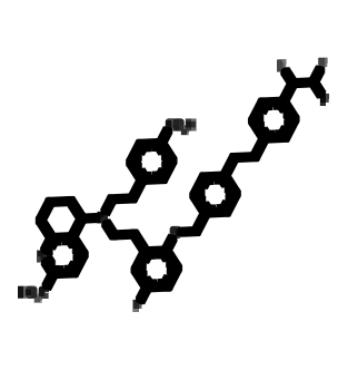 O=C(O)c1ccc(CCN(CCc2cc(F)ccc2OCc2ccc(CCc3ccc(C(F)C(F)F)cc3)cc2)C2CCCc3nc(C(=O)O)ccc32)cc1